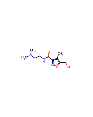 Cc1c(C(=O)NCCN(C)C)noc1CO